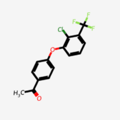 CC(=O)c1ccc(Oc2cccc(C(F)(F)F)c2Cl)cc1